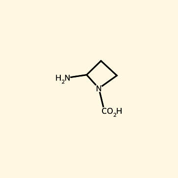 NC1CCN1C(=O)O